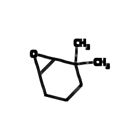 CC1(C)CCCC2OC21